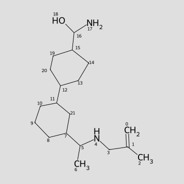 C=C(C)CNC(C)C1CCCC(C2CCC(C(N)O)CC2)C1